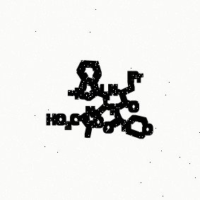 Cc1oc([C@@H](Cc2cn(C)c3ccccc23)N(C(=O)[C@@H](N)CC(C)C)C(=O)N2CCOCC2)nc1C(=O)O